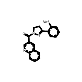 CSc1ccccc1C1=NN(C(=O)c2cnc3ccccc3c2)CC1